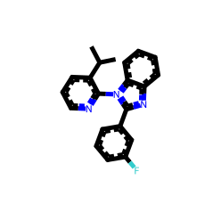 CC(C)c1cccnc1-n1c(-c2cccc(F)c2)nc2ccccc21